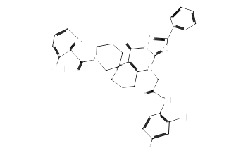 O=C(Cn1c2c(c(=O)n3nc(-c4ccccc4)nc13)C1(CCC2)CCCN(C(=O)c2ncccc2O)C1)Nc1ccc(C(F)(F)F)cc1Cl